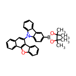 CC1(C)OB(c2ccc3c(c2)c2ccccc2n3-c2cc3ccccc3c3oc4ccccc4c23)OC1(C)C